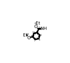 CCOC(=N)c1cccc(OCC)c1